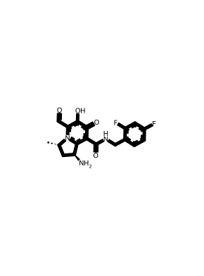 C[C@H]1C[C@H](N)c2c(C(=O)NCc3ccc(F)cc3F)c(=O)c(O)c(C=O)n21